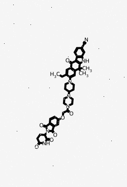 CCc1cc2c(cc1N1CCC(N3CCN(C(=O)COc4ccc5c(c4)C(=O)N(C4CCC(=O)NC4=O)C5=O)CC3)CC1)C(C)(C)c1[nH]c3cc(C#N)ccc3c1C2=O